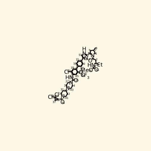 CCC(CC(=O)N1CC(C)C[C@H]1c1nc(-c2ccc(-c3cc(Cl)c(NC(=O)N4CCN(C5CCN(C(=O)[C@@H]6CC6(Cl)Cl)CC5)CC4)cc3OC(F)(F)F)cc2)c[nH]1)NC(=O)OC